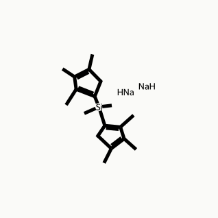 CC1=C(C)C(C)=C([Si](C)(C)C2=C(C)C(C)=C(C)C2)C1.[NaH].[NaH]